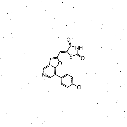 O=C1NC(=O)C(=Cc2cc3cncc(-c4ccc(Cl)cc4)c3o2)S1